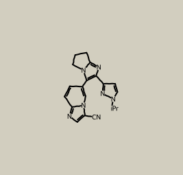 CC(C)n1ccc(-c2nc3n(c2-c2ccc4ncc(C#N)n4c2)CCC3)n1